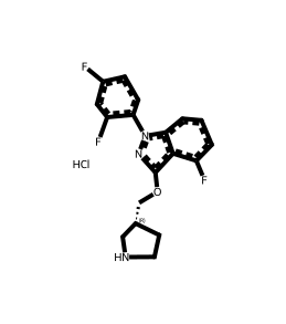 Cl.Fc1ccc(-n2nc(OC[C@@H]3CCNC3)c3c(F)cccc32)c(F)c1